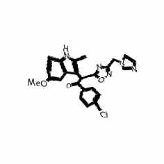 COc1ccc2[nH]c(C)c(C(C(=O)c3ccc(Cl)cc3)c3nc(Cn4ccnc4)no3)c2c1